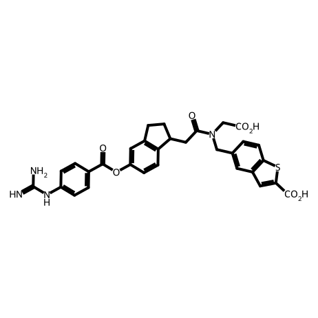 N=C(N)Nc1ccc(C(=O)Oc2ccc3c(c2)CCC3CC(=O)N(CC(=O)O)Cc2ccc3sc(C(=O)O)cc3c2)cc1